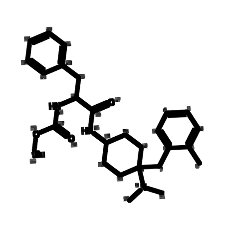 Cc1ccccc1CC1(N(C)C)CCC(NC(=O)C(Cc2ccccc2)NC(=O)OC(C)(C)C)CC1